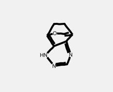 C1=NNC2=C3CCC(=CO3)C2=N1